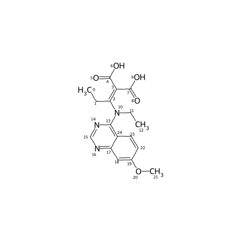 CCC(=C(C(=O)O)C(=O)O)N(CC)c1ncnc2cc(OC)ccc12